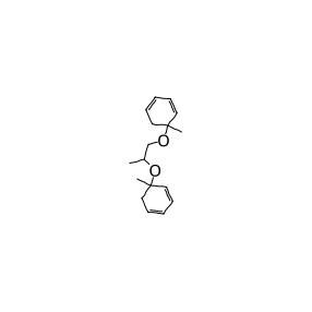 CC(COC1(C)C=CC=CC1)OC1(C)C=CC=CC1